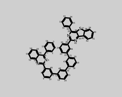 c1ccc(-c2nc(-c3cccc(-c4cccc(-c5cccc(-c6cccc(-c7nc(-c8ccccc8)c8sc9ccccc9c8n7)c6)c5)c4)c3)nc3ccccc23)cc1